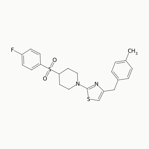 Cc1ccc(Cc2csc(N3CCC(S(=O)(=O)c4ccc(F)cc4)CC3)n2)cc1